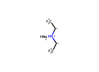 FC(F)(F)CNCC(F)(F)F.[NaH]